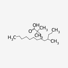 CCCCCCCC(CC(C)CCC)CC(C)(C)C(=O)O